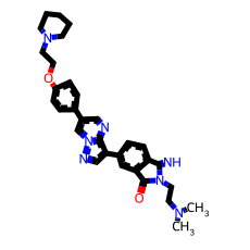 CN(C)CCN1C(=N)c2ccc(-c3cnn4cc(-c5ccc(OCCN6CCCCC6)cc5)cnc34)cc2C1=O